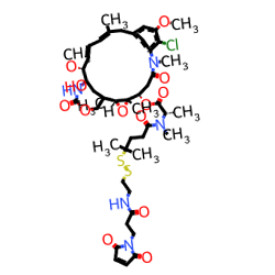 COc1cc2cc(c1Cl)N(C)C(=O)C[C@H](OC(=O)[C@H](C)N(C)C(=O)CCC(C)(C)SSCCNC(=O)CCN1C(=O)C=CC1=O)[C@]1(C)O[C@H]1[C@@]1(C)COC(=O)N[C@](O)(C1)[C@H](OC)/C=C/C=C(\C)C2